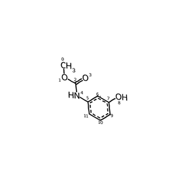 COC(=O)Nc1[c]c(O)ccc1